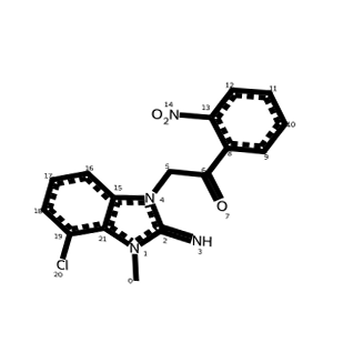 Cn1c(=N)n(CC(=O)c2ccccc2[N+](=O)[O-])c2cccc(Cl)c21